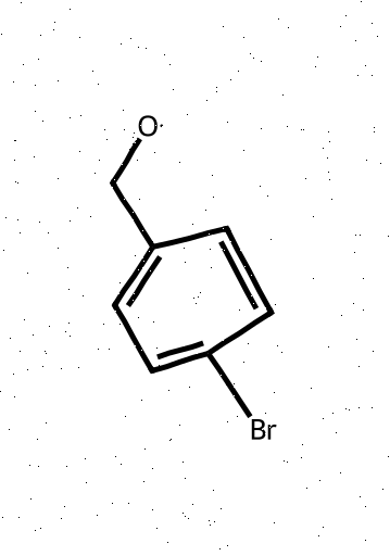 [O]Cc1ccc(Br)cc1